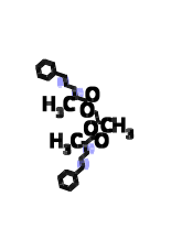 C/C(=C\C=C\c1ccccc1)C(=O)OCC(C)OC(=O)/C(C)=C/C=C/c1ccccc1